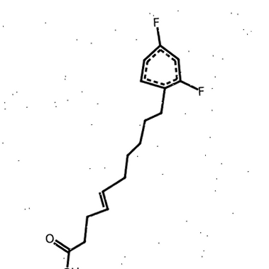 O=C(O)CC/C=C/CCCCCc1ccc(F)cc1F